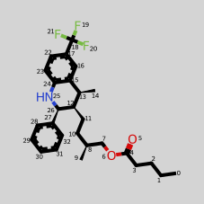 CCCCC(=O)OC[C@@H](C)CC[C@@H]1[C@H](C)c2cc(C(F)(F)F)ccc2N[C@@H]1c1ccccc1